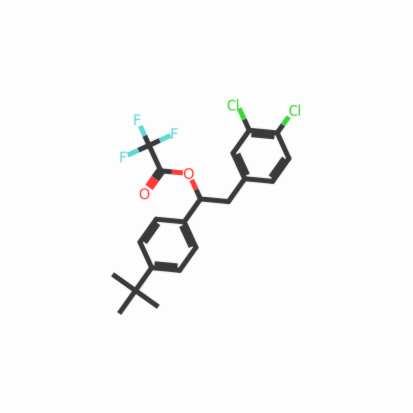 CC(C)(C)c1ccc(C(Cc2ccc(Cl)c(Cl)c2)OC(=O)C(F)(F)F)cc1